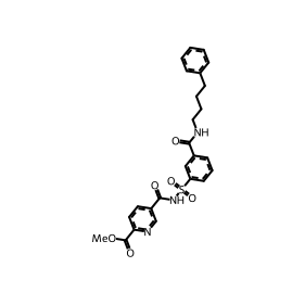 COC(=O)c1ccc(C(=O)NS(=O)(=O)c2cccc(C(=O)NCCCCc3ccccc3)c2)cn1